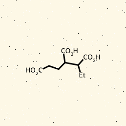 [CH2]CC(C(=O)O)C(CCC(=O)O)C(=O)O